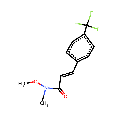 CON(C)C(=O)C=Cc1ccc(C(F)(F)F)cc1